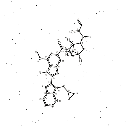 C=CC(=O)N(C)[C@H]1C[C@@H]2CN(C(=O)c3cc(OC)c4c(c3)nc(-c3cc5cccnc5n3CC3CC3)n4C)[C@H]1[C@@H]2N